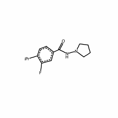 CC(C)c1ccc(C(=O)NN2CCCC2)cc1F